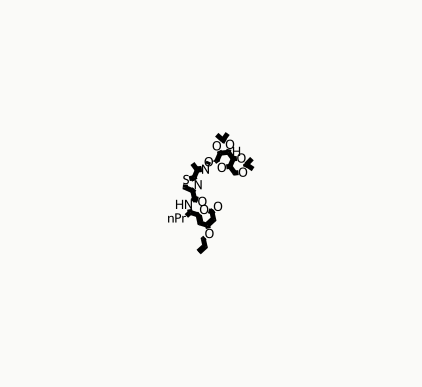 C=CCOc1cc(C(CCC)NC(=O)C2CSC(/C(C)=N/O[C@H]3OC4COC(C)(C)O[C@H]4C4OC(C)(C)OC43)=N2)oc(=O)c1